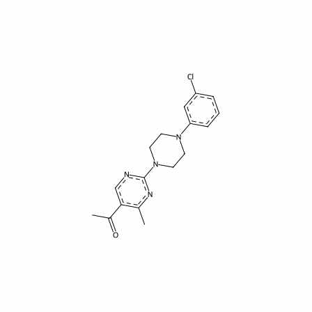 CC(=O)c1cnc(N2CCN(c3cccc(Cl)c3)CC2)nc1C